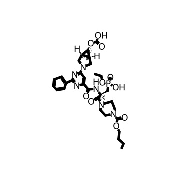 CCCCOC(=O)N1CCN(C(=O)[C@H](CP(=O)(O)OCC)NC(=O)c2cc(N3C[C@@H]4[C@H](C3)[C@H]4OC(=O)O)nc(-c3ccccc3)n2)CC1